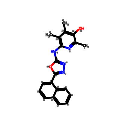 Cc1nc(Nc2nnc(-c3cccc4ccccc34)o2)c(C)c(C)c1O